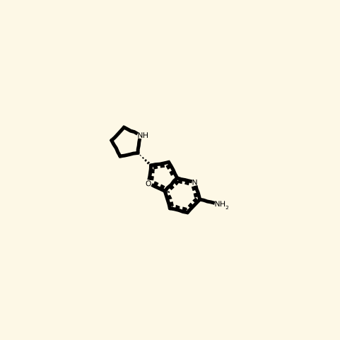 Nc1ccc2oc([C@@H]3CCCN3)cc2n1